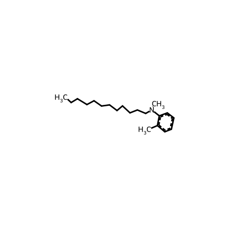 CCCCCCCCCCCCN(C)c1ccccc1C